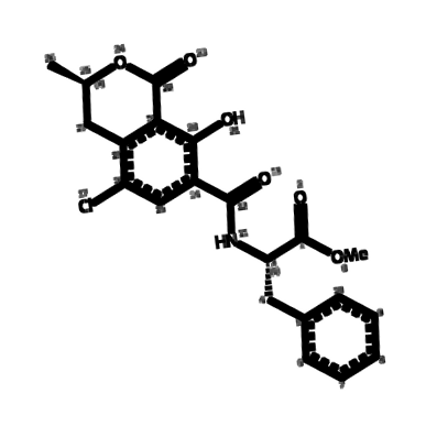 COC(=O)[C@H](Cc1ccccc1)NC(=O)c1cc(Cl)c2c(c1O)C(=O)O[C@H](C)C2